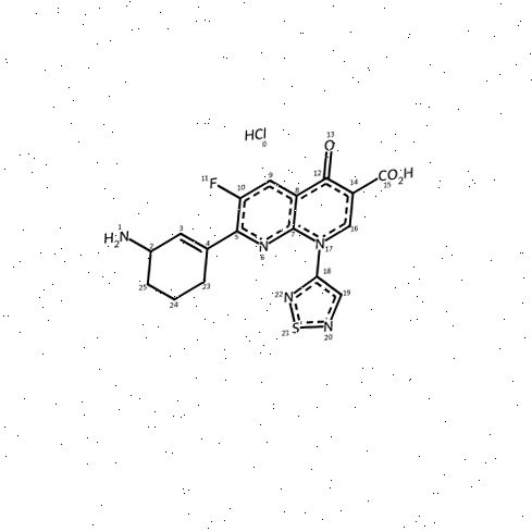 Cl.NC1C=C(c2nc3c(cc2F)c(=O)c(C(=O)O)cn3-c2cnsn2)CCC1